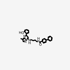 Cc1cnn2c(NCCCCNC(=O)c3ccc(-c4ccccc4)cc3)cc(-c3ccccc3O)nc12